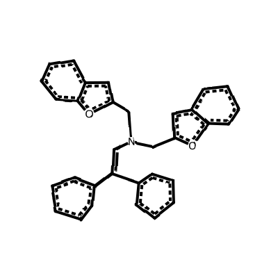 C(=C(c1ccccc1)c1ccccc1)N(Cc1cc2ccccc2o1)Cc1cc2ccccc2o1